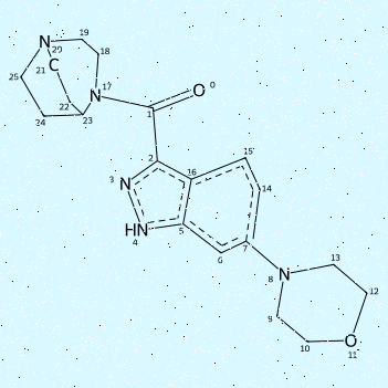 O=C(c1n[nH]c2cc(N3CCOCC3)ccc12)N1CCN2CCC1CC2